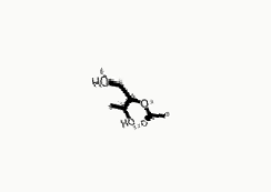 CC(=O)OC(CO)C(C)O